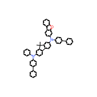 CC1(C)c2cc(N(c3ccccc3)c3ccc(-c4ccccc4)cc3)ccc2-c2ccc(N(c3ccc(-c4ccccc4)cc3)c3ccc4c(c3)oc3ccccc34)cc21